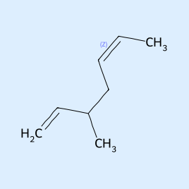 C=CC(C)C/C=C\C